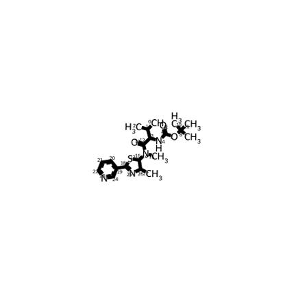 CC(C)C(NC(=O)OC(C)(C)C)C(=O)N(C)C1SC(c2cccnc2)=NC1C